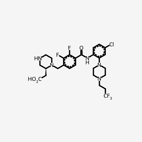 O=C(O)C[C@H]1CNCCN1Cc1ccc(C(=O)Nc2ccc(Cl)cc2N2CCN(CCC(F)(F)F)CC2)c(F)c1F